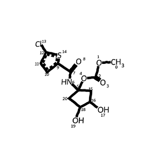 COC(=O)OC1(NC(=O)c2ccc(Cl)s2)CC(O)C(O)C1